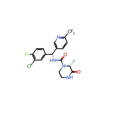 C[C@@H]1C(=O)NCCN1C(=O)N[C@@H](c1ccc(C(F)(F)F)nc1)c1ccc(F)c(Cl)c1